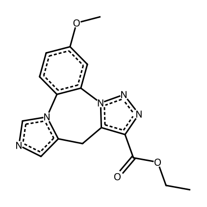 CCOC(=O)c1nnn2c1Cc1cncn1-c1ccc(OC)cc1-2